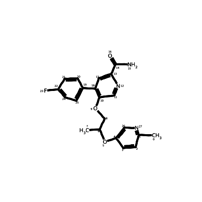 Cc1ccc(OC(C)COc2cnc(C(N)=O)cc2-c2ccc(F)cc2)cn1